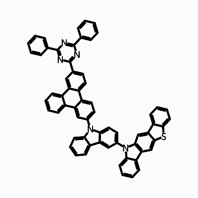 c1ccc(-c2nc(-c3ccccc3)nc(-c3ccc4c5ccc(-n6c7ccccc7c7cc(-n8c9ccccc9c9cc%10sc%11ccccc%11c%10cc98)ccc76)cc5c5ccccc5c4c3)n2)cc1